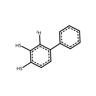 [2H]c1c(-c2ccccc2)ccc(S)c1S